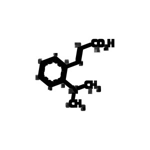 CN(C)c1ccccc1C=CC(=O)O